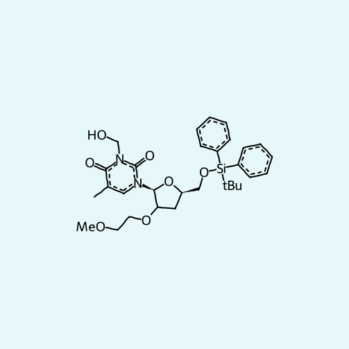 COCCOC1C[C@H](CO[Si](c2ccccc2)(c2ccccc2)C(C)(C)C)O[C@@H]1n1cc(C)c(=O)n(CO)c1=O